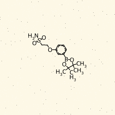 CC1(C)OB(c2cccc(OCCS(N)(=O)=O)c2)OC1(C)C